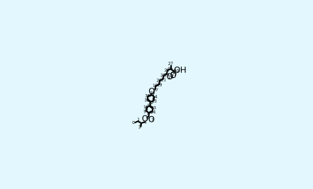 CCC(C)COC(=O)c1ccc(-c2ccc(OCCCCCCC(=O)CC(C)C(=O)O)cc2)cc1